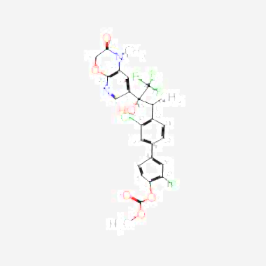 COC(=O)Oc1ccc(-c2ccc(C(C)C(O)(c3cnc4c(c3)N(C)C(=O)CO4)C(F)(F)F)c(Cl)c2)cc1F